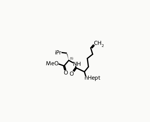 C=CCCCC(CCCCCCC)C(=O)N[C@@H](CC(C)C)C(=O)OC